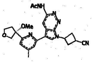 CO[C@@]1(c2cc(C)cc(-c3cn(C4CC(C#N)C4)c4nnc(NC(C)=O)cc34)n2)CCOC1